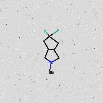 CC(C)(C)N1CC2CC(F)(F)CC2C1